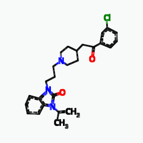 C=C(C)n1c(=O)n(CCCN2CCC(CC(=O)c3cccc(Cl)c3)CC2)c2ccccc21